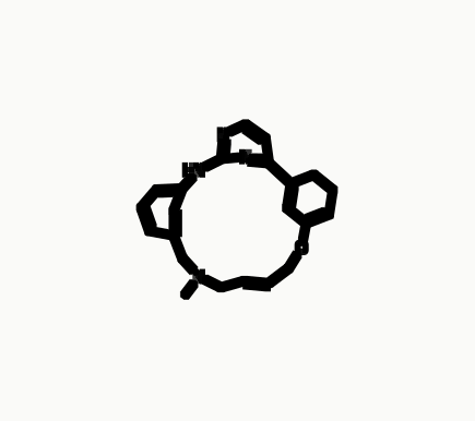 CN1C/C=C/COC2=CCCC(=C2)c2ccnc(n2)Nc2cccc(c2)C1